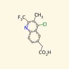 Cc1c(C(F)(F)F)nc2ccc(CC(=O)O)cc2c1Cl